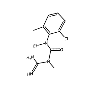 CCN(C(=O)N(C)C(=N)N)c1c(C)cccc1Cl